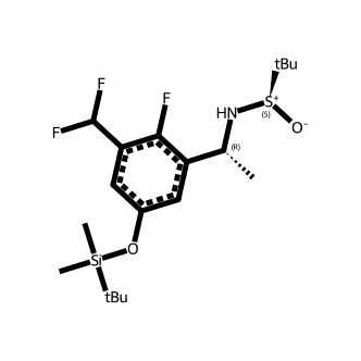 C[C@@H](N[S@+]([O-])C(C)(C)C)c1cc(O[Si](C)(C)C(C)(C)C)cc(C(F)F)c1F